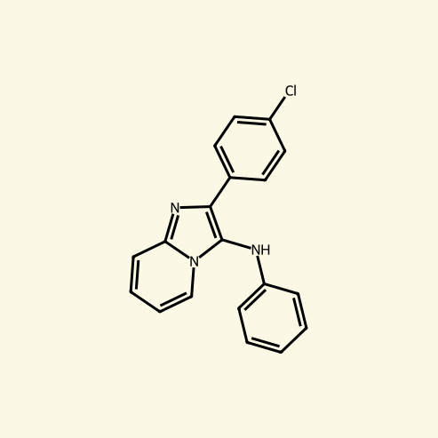 Clc1ccc(-c2nc3ccccn3c2Nc2ccccc2)cc1